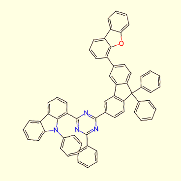 c1ccc(-c2nc(-c3ccc4c(c3)-c3cc(-c5cccc6c5oc5ccccc56)ccc3C4(c3ccccc3)c3ccccc3)nc(-c3cccc4c5ccccc5n(-c5ccccc5)c34)n2)cc1